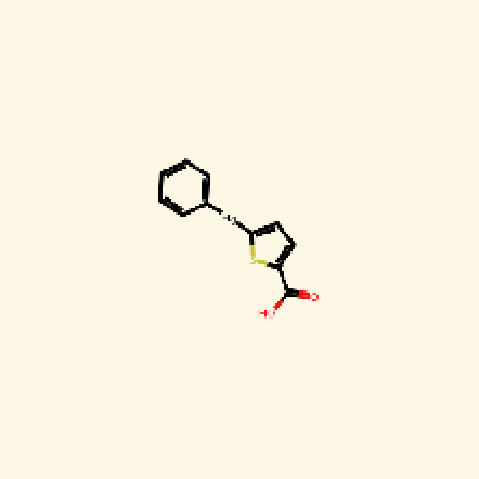 O=C(O)c1cc[c]([Hg][c]2ccccc2)s1